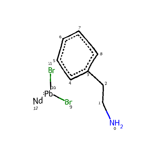 NCCc1ccccc1.[Br][Pb][Br].[Nd]